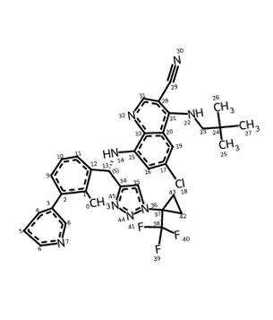 Cc1c(-c2cccnc2)cccc1[C@H](Nc1cc(Cl)cc2c(NCC(C)(C)C)c(C#N)cnc12)c1cn(C2(C(F)(F)F)CC2)nn1